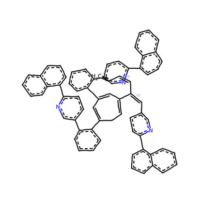 C=C/C=C\C(=C\c1ccc(-c2cccc3ccccc23)nc1)C1=CCC(c2ccccc2-c2ccc(-c3cccc4ccccc34)nc2)=CC(c2ccccc2-c2ccc(-c3cccc4ccccc34)nc2)=C1